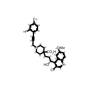 COc1ccc2ncc(Cl)c([C@H](O)CCC3(C(=O)O)CCN(CC#Cc4ccc(F)cc4F)CC3)c2c1